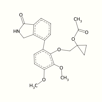 COc1ccc(-c2cccc3c2CNC3=O)c(OCC2(OC(C)=O)CC2)c1OC